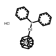 Cl.c1ccc([P]([Pd][C]23[CH]4[CH]5[CH]6[CH]2[Fe]56432789[CH]3[CH]2[CH]7[CH]8[CH]39)c2ccccc2)cc1